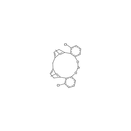 CC1=C2CC=C1CC1=CCC(=C1C)c1c(Cl)cccc1[O][Zr][O]c1cccc(Cl)c12